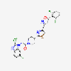 O=C(Cn1c(Cl)nc2ccc(F)cc21)N1CCC(c2nc(C3=NOC(c4c(F)cccc4F)C3)cs2)CC1